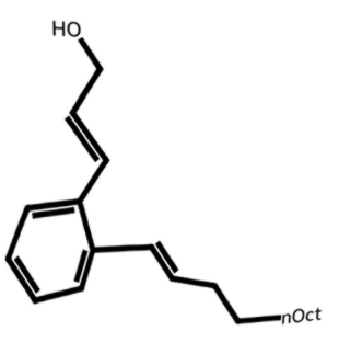 CCCCCCCCCCC=Cc1ccccc1C=CCO